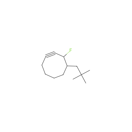 CC(C)(C)CC1CCCCC#CC1F